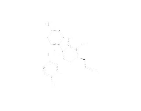 C=CC[C@H]1C[C@H](c2cccc(Cl)c2)[C@@](C)(c2ccc(Cl)cc2)N(C(C)C)C1=O